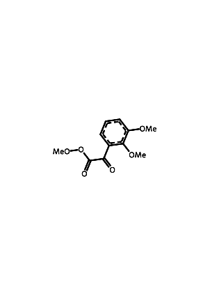 COOC(=O)C(=O)c1cccc(OC)c1OC